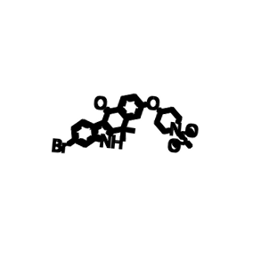 CC1(C)c2cc(OC3CCN(S(C)(=O)=O)CC3)ccc2C(=O)c2c1[nH]c1cc(Br)ccc21